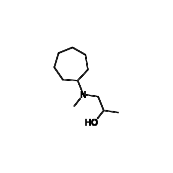 CC(O)CN(C)C1CCCCCC1